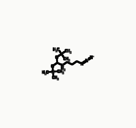 C[Si](C)(C)OC(O[Si](C)(C)C)[SiH2]CCCN=[N+]=[N-]